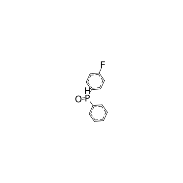 O=[PH](c1ccccc1)c1ccc(F)cc1